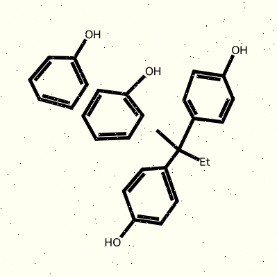 CCC(C)(c1ccc(O)cc1)c1ccc(O)cc1.Oc1ccccc1.Oc1ccccc1